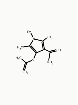 C=C(C)Sc1c(C(=C)N)c(C)n(C(C)C)c1C